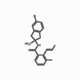 C/C=C/c1c(C)cccc1C(=O)NC1(C(=O)O)Cc2ccc(Br)cc2C1